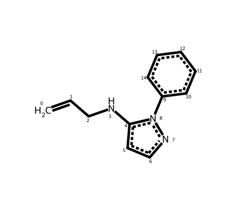 C=CCNc1ccnn1-c1ccccc1